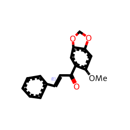 COc1cc2c(cc1C(=O)/C=C/c1ccccc1)OCO2